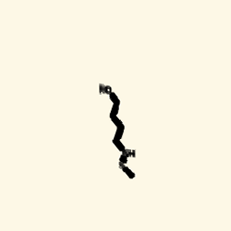 CSNCCCCO